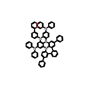 c1ccc(-c2cccc(N3c4cc(N(c5ccccc5)c5ccccc5)ccc4B4c5cc(-c6ccccc6)cc6c5N(c5ccc(-c7ccccc7)cc5-c5ccccc5-6)c5cc(N(c6ccccc6)c6ccccc6)cc3c54)c2)cc1